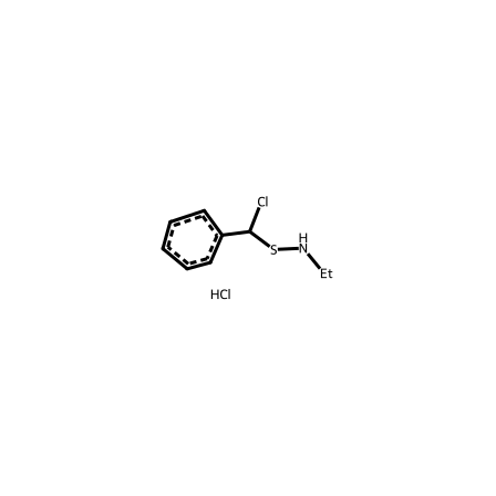 CCNSC(Cl)c1ccccc1.Cl